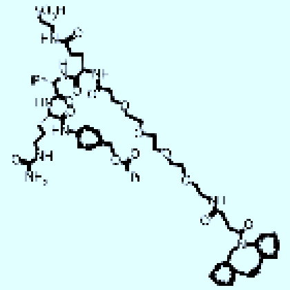 CC(C)C(=O)OCc1ccc(NC(=O)[C@H](CCCNC(N)=O)NC(=O)[C@@H](NC(=O)[C@@H](CCC(=O)NCCS(=O)(=O)O)NC(=O)CCOCCOCCOCCOCCNC(=O)CCC(=O)N2Cc3ccccc3C#Cc3ccccc32)C(C)C)cc1